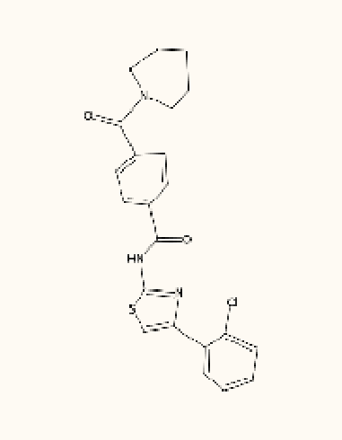 O=C(Nc1nc(-c2ccccc2Cl)cs1)c1ccc(C(=O)N2CCCCC2)cc1